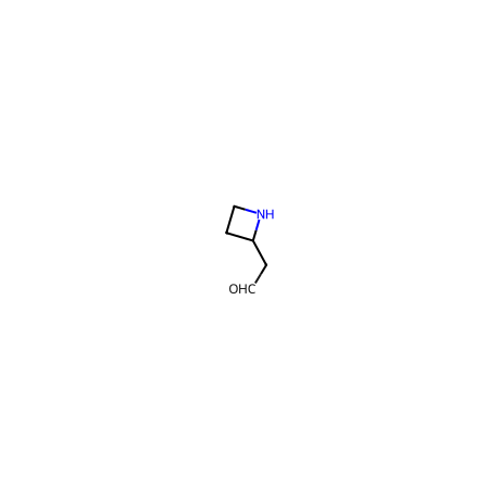 O=CCC1CCN1